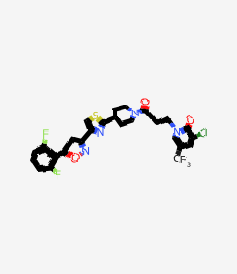 O=C(CCn1cc(C(F)(F)F)cc(Cl)c1=O)N1CCC(c2nc(C3=NOC(c4c(F)cccc4F)C3)cs2)CC1